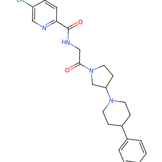 O=C(NCC(=O)N1CCC(N2CCC(c3ccccc3)CC2)C1)c1ccc(Cl)cn1